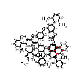 Cc1cc(C)c(N2c3cc4c(cc3B3c5cc6c(cc5Oc5cc(-c7c(C)cccc7C)cc2c53)Oc2cc(-c3c(C)cccc3C)cc3c2B6c2ccc(-c5ccccc5)cc2O3)B2c3cccc(-c5ccccc5)c3Oc3cc(-c5c(C)cccc5C)cc(c32)N4c2ccccc2)c(C)c1